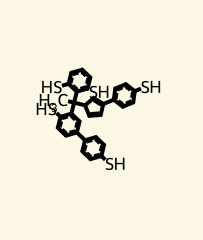 CC(c1cc(-c2ccc(S)cc2)ccc1S)(c1c(S)cccc1S)C1C=CC(c2ccc(S)cc2)=C1